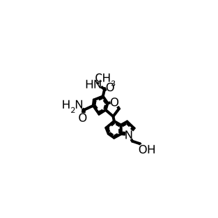 CNC(=O)c1cc(C(N)=O)cc2c1OCC2c1cccc2c1ccn2CCO